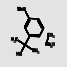 COc1cccc(C(C)(C)O)c1.CS(=O)(=O)O